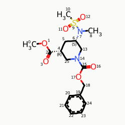 COC(=O)[C@@H]1C[C@H](N(C)S(C)(=O)=O)CN(C(=O)OCc2ccccc2)C1